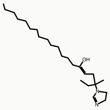 CCCCCCCCCCCCCCC(O)=CCC(C)(CC)N1C=NCC1